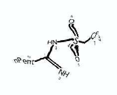 CCCCCC(=N)NS(=O)(=O)C(F)(F)F